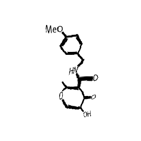 COc1ccc(CNC(=O)c2c(C)occ(O)c2=O)cc1